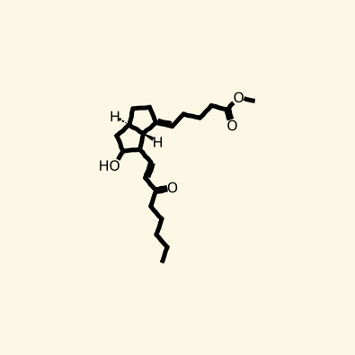 CCCCCC(=O)C=CC1C(O)C[C@H]2CCC(=CCCCC(=O)OC)[C@H]12